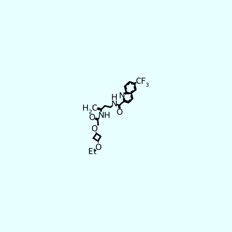 C=C(CCNC(=O)c1ccc2cc(C(F)(F)F)ccc2n1)NC(=O)CO[C@H]1C[C@@H](OCC)C1